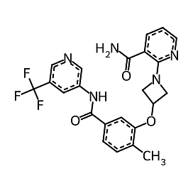 Cc1ccc(C(=O)Nc2cncc(C(F)(F)F)c2)cc1OC1CN(c2ncccc2C(N)=O)C1